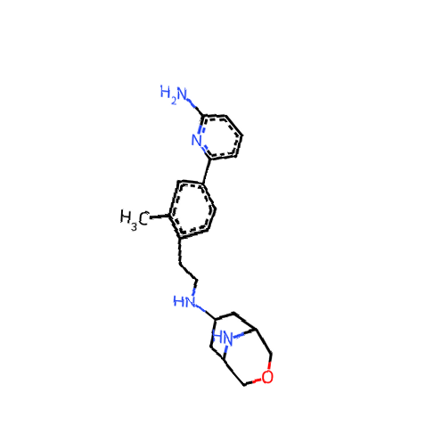 Cc1cc(-c2cccc(N)n2)ccc1CCNC1CC2COCC(C1)N2